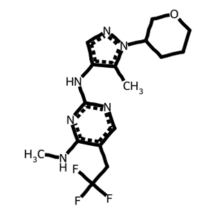 CNc1nc(Nc2cnn(C3CCCOC3)c2C)ncc1CC(F)(F)F